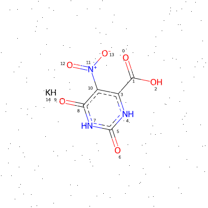 O=C(O)c1[nH]c(=O)[nH]c(=O)c1[N+](=O)[O-].[KH]